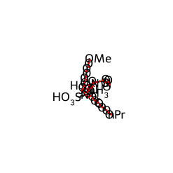 CCCOCCOCCOCCOCCOCCOc1ccc2c(c1)c(C(=O)Oc1c(C)cc(C(=O)NCCCCCC(=O)ON3C(=O)CCC3=O)cc1C)c1cc(OCCOCCOCCOCCOCCOCCOC)ccc1[n+]2CCCS(=O)(=O)O